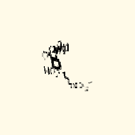 Cl.Cl.O=C(O)CCCCC(=O)O.O=C1OC(=O)c2ccccc21